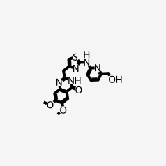 COc1cc2nc(Cc3csc(Nc4cccc(CO)n4)n3)[nH]c(=O)c2cc1OC